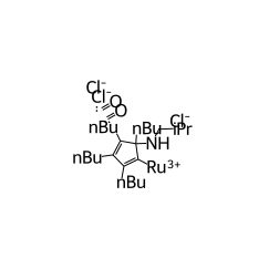 CCCCC1=[C]([Ru+3])C(CCCC)(NCC(C)C)C(CCCC)=C1CCCC.[C]=O.[C]=O.[Cl-].[Cl-].[Cl-]